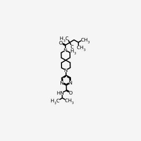 CC(C)CC(C)(C)C(=O)N1CCC2(CC1)CCN(c1cnc(C(=O)NC(C)C)nc1)CC2